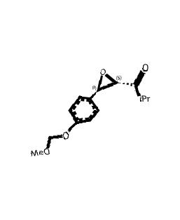 COCOc1ccc([C@H]2O[C@@H]2C(=O)C(C)C)cc1